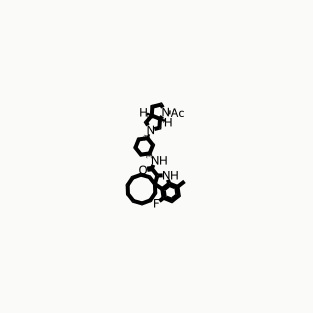 CC(=O)N1CC[C@H]2CN([C@@H]3CCC[C@@H](NC(=O)C4Nc5c(C)ccc(F)c5C45CCCCCCCCC5)C3)C[C@H]21